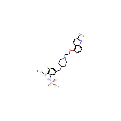 COc1c(F)cc(CC2CCN(CCOc3cccc4nc(C)ccc34)CC2)cc1NS(C)(=O)=O